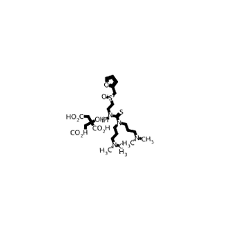 CC(C)N(CC[S+]([O-])Cc1ccco1)C(=S)N(CCCN(C)C)CCCN(C)C.O=C(O)CC(O)(CC(=O)O)C(=O)O